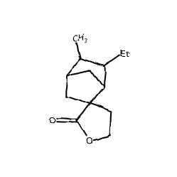 CCC1C(C)C2CC1C1(CCOC1=O)C2